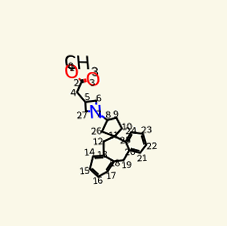 COC(=O)CC1CN(C2CCC3(Cc4ccccc4Cc4ccccc43)C2)C1